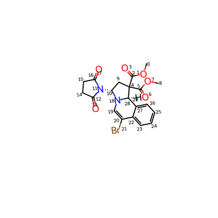 COC(=O)C1(C(=O)OC)C[C@@H](N2C(=O)CCC2=O)N2C=C(Br)c3ccccc3[C@@H]21